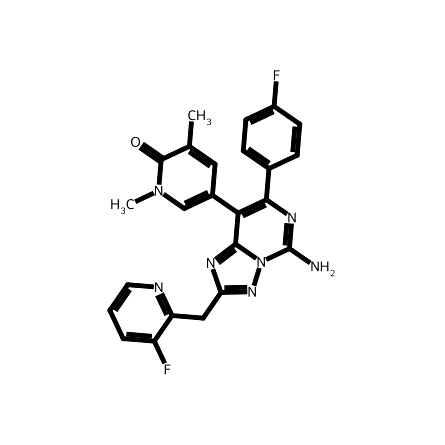 Cc1cc(-c2c(-c3ccc(F)cc3)nc(N)n3nc(Cc4ncccc4F)nc23)cn(C)c1=O